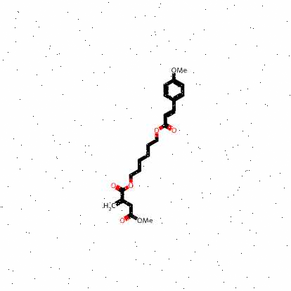 C=C(CC(=O)OC)C(=O)OCCCCCCOC(=O)/C=C/c1ccc(OC)cc1